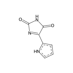 O=C1N=C(c2ccc[nH]2)C(=O)N1